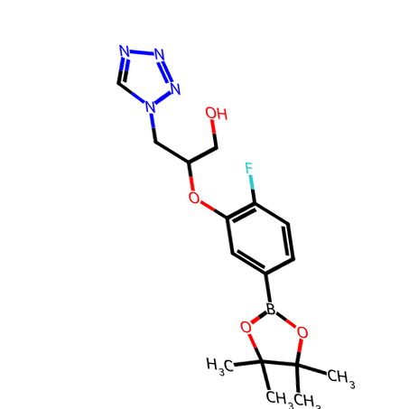 CC1(C)OB(c2ccc(F)c(OC(CO)Cn3cnnn3)c2)OC1(C)C